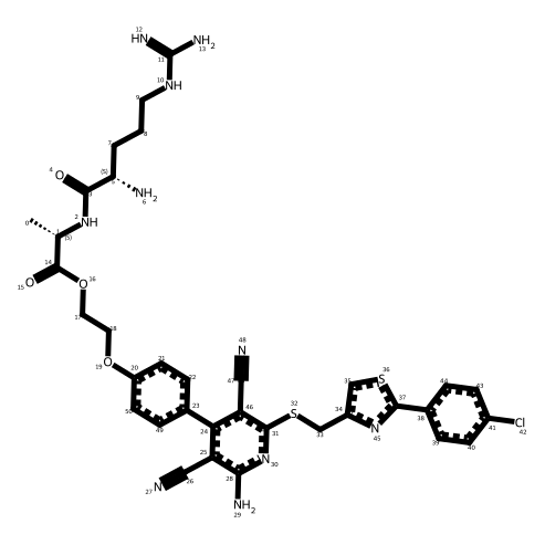 C[C@H](NC(=O)[C@@H](N)CCCNC(=N)N)C(=O)OCCOc1ccc(-c2c(C#N)c(N)nc(SCc3csc(-c4ccc(Cl)cc4)n3)c2C#N)cc1